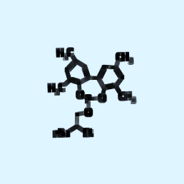 CCCCC(CC)COp1oc2c(C)cc(C)cc2c2cc(C)cc(C)c2o1